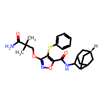 CC(C)(COc1noc(C(=O)NC2C3CC4C[C@@H](C3)CC42)c1Sc1ccccc1)C(N)=O